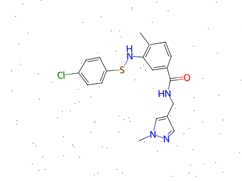 Cc1ccc(C(=O)NCc2cnn(C)c2)cc1NSc1ccc(Cl)cc1